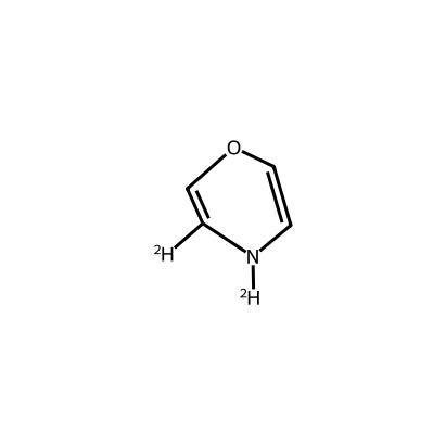 [2H]C1=COC=CN1[2H]